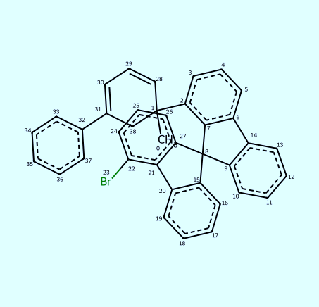 CC1(c2cccc3c2C2(c4ccccc4-3)c3ccccc3-c3c(Br)cccc32)C=CC=C(c2ccccc2)C1